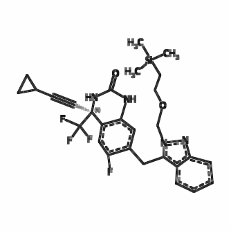 C[Si](C)(C)CCOCn1nc2ccccc2c1Cc1cc2c(cc1F)[C@@](C#CC1CC1)(C(F)(F)F)NC(=O)N2